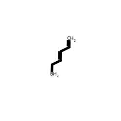 BCC=CC=C